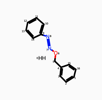 [HH].c1ccc(CON=Nc2ccccc2)cc1